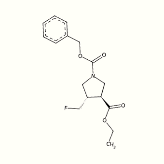 CCOC(=O)[C@@H]1CN(C(=O)OCc2ccccc2)C[C@H]1CF